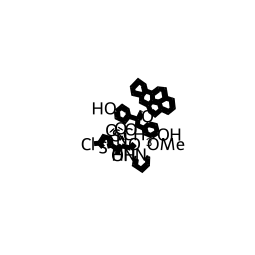 CN1C(C(=O)Nc2ccccn2)=C(O)c2sc(Cl)cc2S1(=O)=O.COc1cc2c(=O)c(-c3ccc(O)cc3)coc2cc1O.c1ccc2c(c1)cc1ccc3cccc4ccc2c1c34